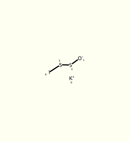 [K+].[O-]SSI